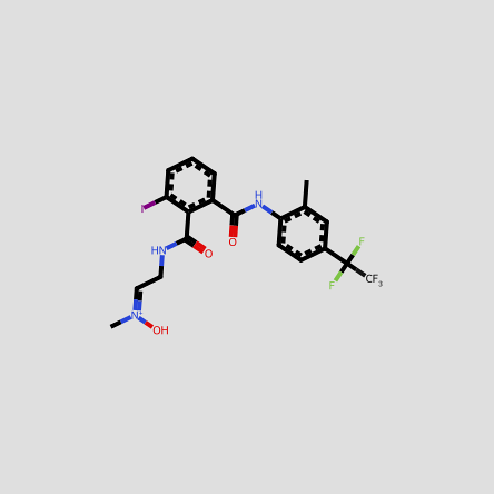 Cc1cc(C(F)(F)C(F)(F)F)ccc1NC(=O)c1cccc(I)c1C(=O)NCC=[N+](C)O